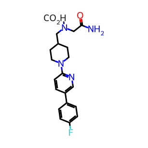 NC(=O)CN(CC1CCN(c2ccc(-c3ccc(F)cc3)cn2)CC1)C(=O)O